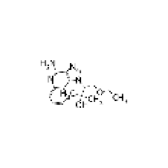 CCOC[C@@H](n1cnc2c(N)nc3ccccc3c21)C(C)(C)O